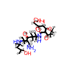 CC(CO)CC(C)(C)NC(C)(C)C(CN)C(=O)C(C)(C)C(C)(C)NC1OC(CO)CC2OC(C)(C)C(C)(C)C(=O)C21